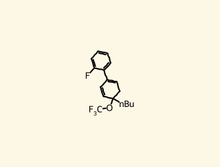 CCCCC1(OC(F)(F)F)C=CC(c2ccccc2F)=CC1